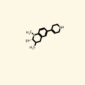 CC[C@H]1C(C)Cc2cc(C3=CCNCC3)ccc2N1C